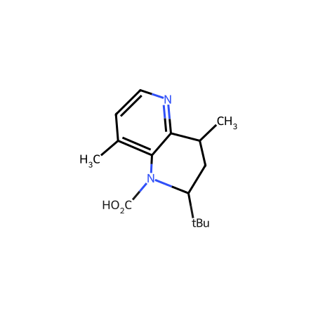 Cc1ccnc2c1N(C(=O)O)C(C(C)(C)C)CC2C